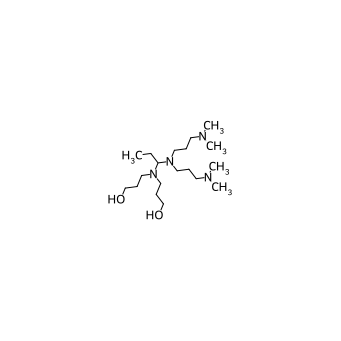 CCC(N(CCCO)CCCO)N(CCCN(C)C)CCCN(C)C